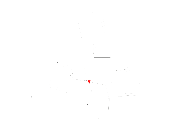 COc1cccc(C(=O)N2C3CCC2CN(Cc2c(-c4ccc(Cl)cn4)nc4ccccn24)C3)n1